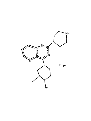 CC1CN(c2nc(N3CCNCC3)nc3cccnc23)CC[S+]1[O-].Cl.Cl